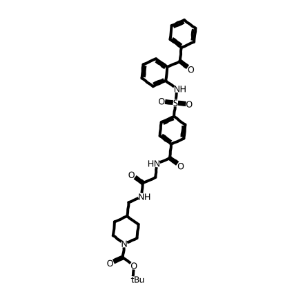 CC(C)(C)OC(=O)N1CCC(CNC(=O)CNC(=O)c2ccc(S(=O)(=O)Nc3ccccc3C(=O)c3ccccc3)cc2)CC1